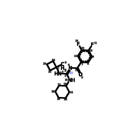 CC1(N/C(=N/C(=O)c2ccc(F)c(F)c2)NC2CCCCC2)CCC1